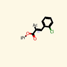 CC(=O)/C(=C\c1ccccc1Cl)C(=O)OC(C)C